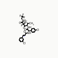 CC(C)[C@H](NC(=O)[C@@H](NC(=O)/C=C/c1cccc(Cl)c1)c1ccc(Cl)cc1)C(=O)C(F)(F)C(=O)NCC(F)(F)F